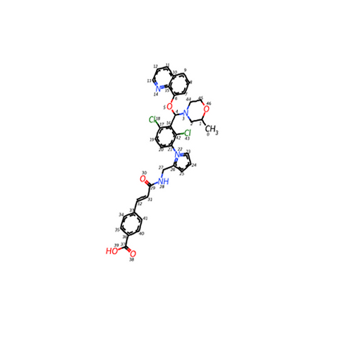 CC1CN(C(Oc2cccc3cccnc23)c2c(Cl)ccc(-n3cccc3CNC(=O)C=Cc3ccc(C(=O)O)cc3)c2Cl)CCO1